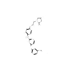 COc1cccc(Sc2ccnc(Nc3ccc(OCCN4CC(C)CC4C)cc3)n2)c1